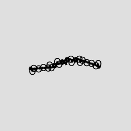 C=C(C)C(=O)OCCOCCOCCOC(=O)Oc1ccc(C(=O)Oc2ccc3c(c2)C(C)c2cc(OC(=O)c4ccc(OC(=O)OCCOCCOCCOC(=O)C(=C)C)cc4)ccc2-3)cc1